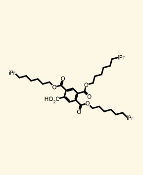 CC(C)CCCCCCOC(=O)c1cc(C(=O)OCCCCCCC(C)C)c(C(=O)OCCCCCCC(C)C)cc1C(=O)O